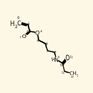 C=CC(=O)OCCCCNC(=O)CC